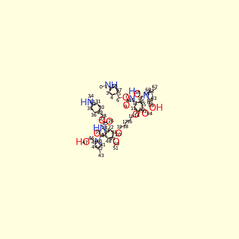 CNc1ccc(COC(=O)Nc2cc(OCCCCCOc3cc(NC(=O)OCc4ccc(NC)cc4)c(C(=O)N4C=C(C)C[C@H]4CO)cc3OC)c(OC)cc2C(=O)N2C=C(C)C[C@H]2CO)cc1